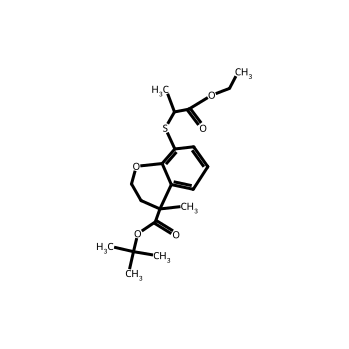 CCOC(=O)C(C)Sc1cccc2c1OCCC2(C)C(=O)OC(C)(C)C